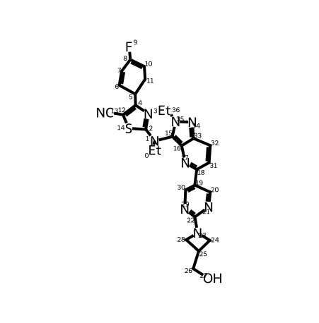 CCN(c1nc(C2C=CC(F)=CC2)c(C#N)s1)c1c2nc(-c3cnc(N4CC(CO)C4)nc3)ccc2nn1CC